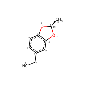 C[C@@H]1Oc2ccc(CC#N)cc2O1